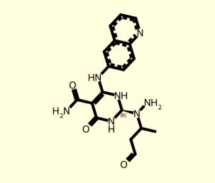 CC(CC=O)N(N)[C@H]1NC(=O)C(C(N)=O)=C(Nc2ccc3ncccc3c2)N1